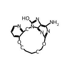 Nc1nc2nc3c1nc(O)n3Cc1ncccc1OCCCCCO2